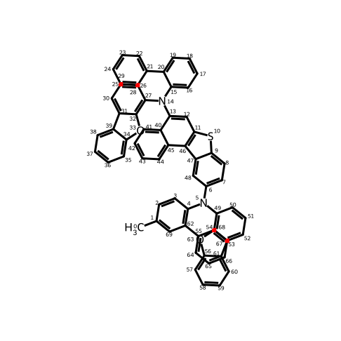 Cc1ccc(N(c2ccc3sc4cc(N(c5ccccc5-c5ccccc5)c5cccc6c5oc5ccccc56)c5ccccc5c4c3c2)c2cccc3c2oc2ccccc23)c(-c2ccccc2)c1